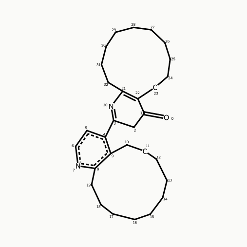 O=C1CC(c2ccnc3c2CCCCCCCCCC3)=NC2=C1CCCCCCCCCC2